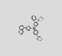 c1ccc(C2(c3ccc(N(c4ccc(-c5cccc6ccccc56)cc4)c4ccc(C5CC6CCC5C6)cc4)cc3)CCCCC2)cc1